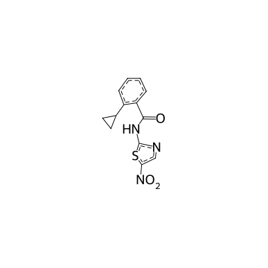 O=C(Nc1ncc([N+](=O)[O-])s1)c1ccccc1C1CC1